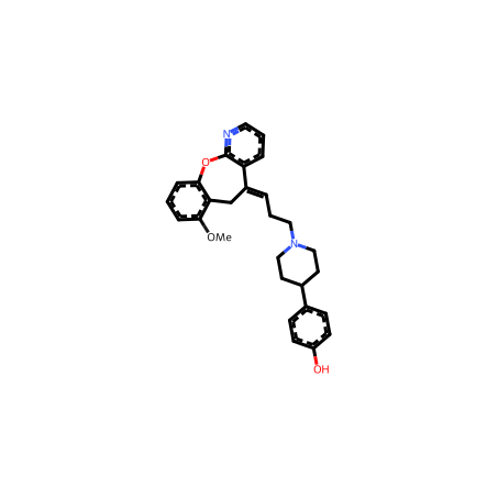 COc1cccc2c1CC(=CCCN1CCC(c3ccc(O)cc3)CC1)c1cccnc1O2